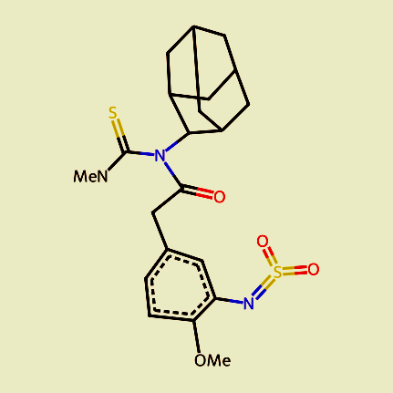 CNC(=S)N(C(=O)Cc1ccc(OC)c(N=S(=O)=O)c1)C1C2CC3CC(C2)CC1C3